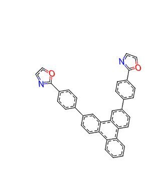 c1ccc2c(c1)c1ccc(-c3ccc(-c4ncco4)cc3)cc1c1cc(-c3ccc(-c4ncco4)cc3)ccc21